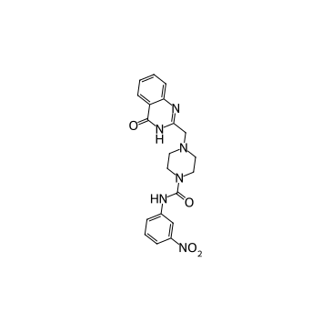 O=C(Nc1cccc([N+](=O)[O-])c1)N1CCN(Cc2nc3ccccc3c(=O)[nH]2)CC1